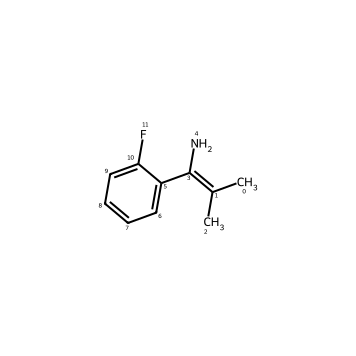 CC(C)=C(N)c1ccccc1F